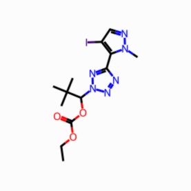 CCOC(=O)OC(n1nnc(-c2c(I)cnn2C)n1)C(C)(C)C